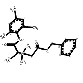 Cc1cc(C)c(NC(=O)C(C)[N+](C)(C)CC(=O)OCc2ccccc2)c(C)c1